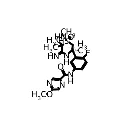 CN[SH]1(=O)C[C@@](C)(c2cc(NC(=O)c3cnc(OC)cn3)ccc2F)NC(=N)C1(C)C